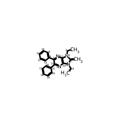 C=C1N(CC)c2nc(-c3ccccc3)c(-c3ccccc3)nc2N1CC